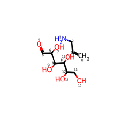 C=CCN.O=CC(O)C(O)C(O)C(O)CO